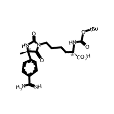 CC(C)(C)OC(=O)N[C@@H](CCCCN1C(=O)N[C@@](C)(c2ccc(C(=N)N)cc2)C1=O)C(=O)O